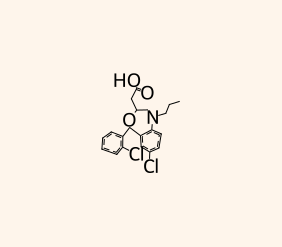 CCCN1CC(CC(=O)O)OC(c2ccccc2Cl)c2cc(Cl)ccc21